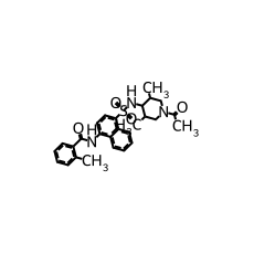 CC(=O)N1CC(C)C(NS(=O)(=O)c2ccc(NC(=O)c3ccccc3C)c3ccccc23)C(C)C1